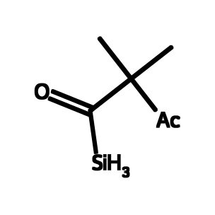 CC(=O)C(C)(C)C(=O)[SiH3]